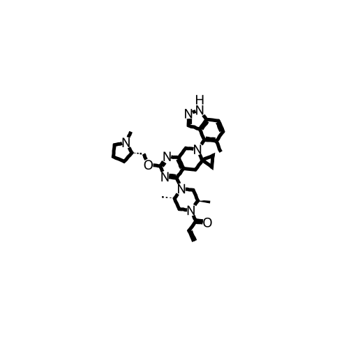 C=CC(=O)N1C[C@H](C)N(c2nc(OC[C@@H]3CCCN3C)nc3c2CC2(CC2)N(c2c(C)ccc4[nH]ncc24)C3)C[C@H]1C